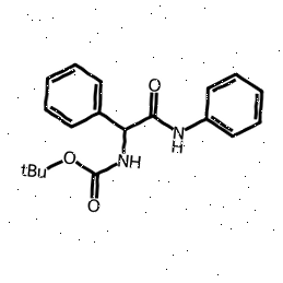 CC(C)(C)OC(=O)NC(C(=O)Nc1ccccc1)c1ccccc1